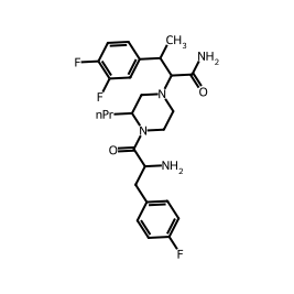 CCCC1CN(C(C(N)=O)C(C)c2ccc(F)c(F)c2)CCN1C(=O)C(N)Cc1ccc(F)cc1